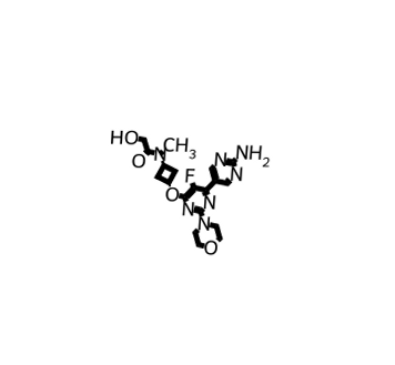 CN(C(=O)CO)[C@H]1C[C@H](Oc2nc(N3CCOCC3)nc(-c3cnc(N)nc3)c2F)C1